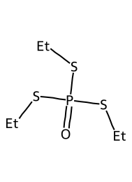 CCSP(=O)(SCC)SCC